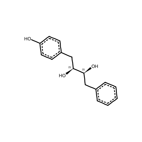 Oc1ccc(C[C@H](O)[C@@H](O)Cc2ccccc2)cc1